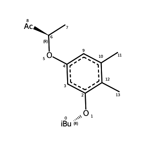 CC[C@@H](C)Oc1cc(O[C@H](C)C(C)=O)cc(C)c1C